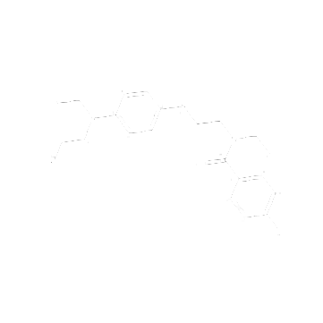 CCN(CCNc1ccc(N(CC)CCN)cc1)C(=O)c1ccc(C)cc1